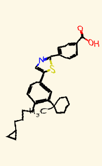 CC1(c2cc(-c3cnc(-c4ccc(C(=O)O)cc4)s3)ccc2CCCCC2CC2)CCCCC1